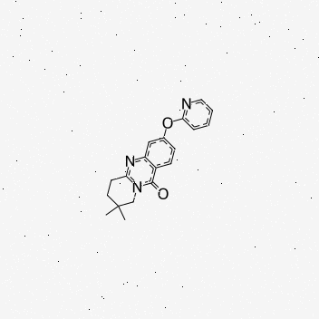 CC1(C)CCc2nc3cc(Oc4ccccn4)ccc3c(=O)n2C1